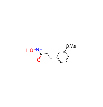 COc1cccc(CCC(=O)NO)c1